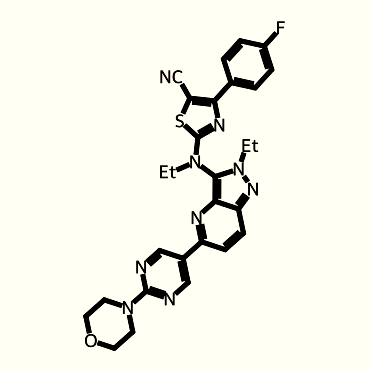 CCN(c1nc(-c2ccc(F)cc2)c(C#N)s1)c1c2nc(-c3cnc(N4CCOCC4)nc3)ccc2nn1CC